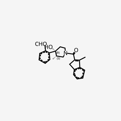 CC1=C(C(=O)N2CC[C@](O)(c3ccccc3C=O)[C@@H](C)C2)Cc2ccccc21